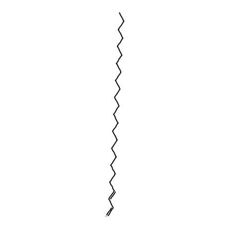 [CH]=C/C=C/CCCCCCCCCCCCCCCCCCCCC